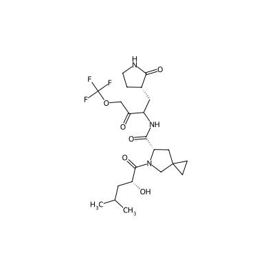 CC(C)C[C@@H](O)C(=O)N1CC2(CC2)C[C@H]1C(=O)NC(C[C@@H]1CCNC1=O)C(=O)COC(F)(F)F